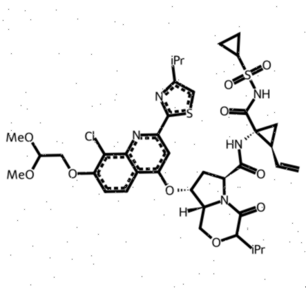 C=C[C@@H]1C[C@]1(NC(=O)[C@@H]1C[C@@H](Oc2cc(-c3nc(C(C)C)cs3)nc3c(Cl)c(OCC(OC)OC)ccc23)[C@H]2COC(C(C)C)C(=O)N21)C(=O)NS(=O)(=O)C1CC1